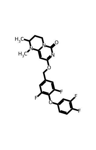 CC1CCn2c(cc(OCc3cc(F)c(Oc4ccc(F)c(F)c4)c(F)c3)nc2=O)N1C